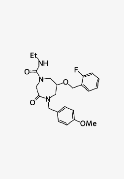 CCNC(=O)N1CC(=O)N(Cc2ccc(OC)cc2)CC(OCc2ccccc2F)C1